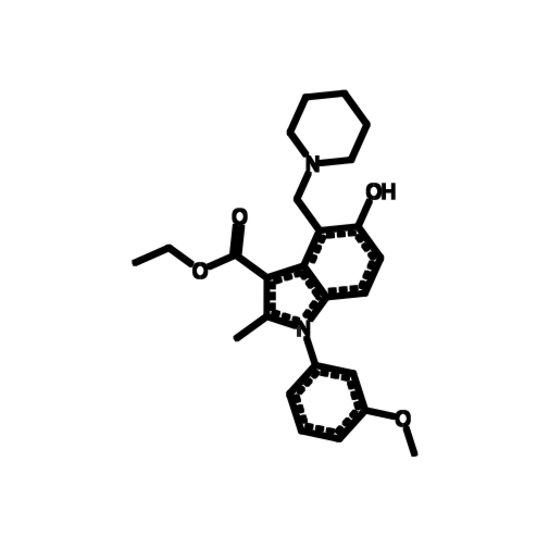 CCOC(=O)c1c(C)n(-c2cccc(OC)c2)c2ccc(O)c(CN3CCCCC3)c12